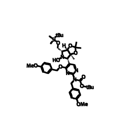 COc1ccc(COc2nc(N(Cc3ccc(OC)cc3)C(=O)OC(C)(C)C)ncc2[C@@H]2N(O)[C@H](CO[Si](C)(C)C(C)(C)C)[C@H]3OC(C)(C)O[C@]32C)cc1